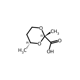 C[C@@H]1CCO[C@](C)(C(=O)O)O1